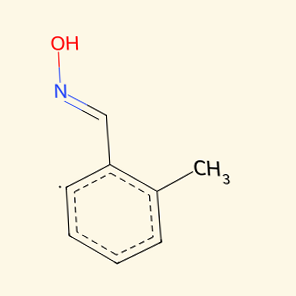 Cc1ccc[c]c1C=NO